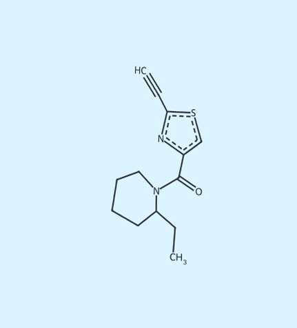 C#Cc1nc(C(=O)N2CCCCC2CC)cs1